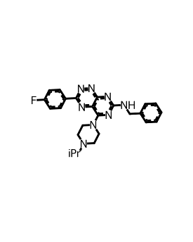 CC(C)N1CCN(c2nc(NCc3ccccc3)nc3nnc(-c4ccc(F)cc4)nc23)CC1